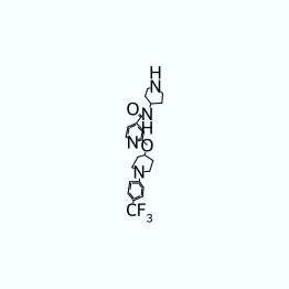 O=C(NC1CCNCC1)c1ccnc(OC2CCN(c3ccc(C(F)(F)F)cc3)CC2)c1